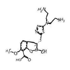 COc1ccc2c(c1C(=O)O)OB(O)[C@@H](Sc1nnc(N(CCN)CCN)s1)C2